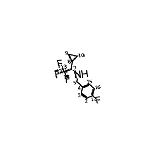 Fc1ccc(CN[C@@H](C2CC2)C(F)(F)F)cc1